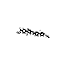 C=CCOc1ccc(-c2ccc(CCc3ccc(C4CCC(C(C)O)CC4)c(F)c3F)cc2)c(F)c1